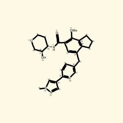 COc1c(C(=O)N[C@H]2CCOC[C@@H]2O)cc(Cc2ccc(-c3cnn(C)c3)nc2)c2c1CCC2